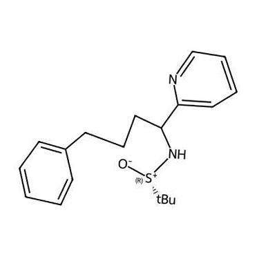 CC(C)(C)[S@+]([O-])NC(CCCc1ccccc1)c1ccccn1